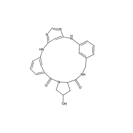 O=C1NCc2cccc(c2)Nc2cc(ncn2)Nc2cccc(c2)C(=O)N2CC(O)CC12